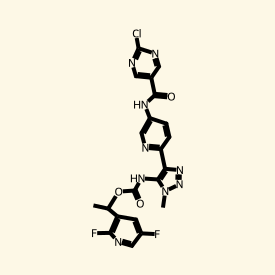 CC(OC(=O)Nc1c(-c2ccc(NC(=O)c3cnc(Cl)nc3)cn2)nnn1C)c1cc(F)cnc1F